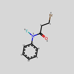 O=C(CCBr)N(F)c1ccccc1